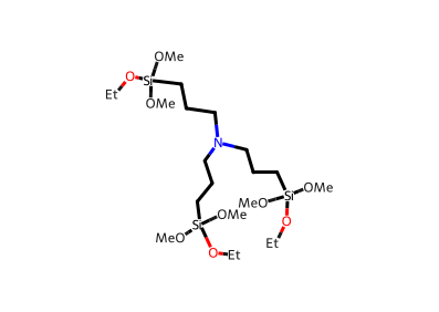 CCO[Si](CCCN(CCC[Si](OC)(OC)OCC)CCC[Si](OC)(OC)OCC)(OC)OC